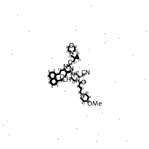 C#Cc1cccc2cccc(C3Cc4nc(OCC5(CN6CCOCC6)CC5)nc(N5CCN(C(=O)/C=C/CN6CCC(OC)CC6)[C@@H](CC#N)C5)c4CO3)c12